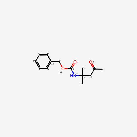 [CH2]C(=O)CC(C)(C)NC(=O)OCc1ccccc1